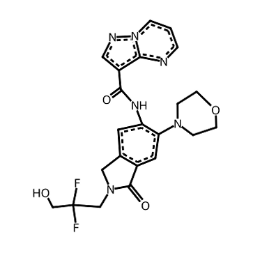 O=C(Nc1cc2c(cc1N1CCOCC1)C(=O)N(CC(F)(F)CO)C2)c1cnn2cccnc12